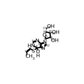 C/C=C\SC1(O)NC=Nc2c1ncn2[C@@H]1O[C@H](CO)[C@@H](O)[C@H]1O